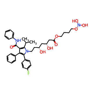 CC(C)c1c(C(=O)Nc2ccccc2)c(-c2ccccc2)c(-c2ccc(F)cc2)n1CC[C@@H](O)C[C@@H](O)CC(=O)OCCCCON(O)O